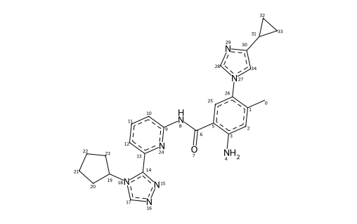 Cc1cc(N)c(C(=O)Nc2cccc(-c3nncn3C3CCCC3)n2)cc1-n1cnc(C2CC2)c1